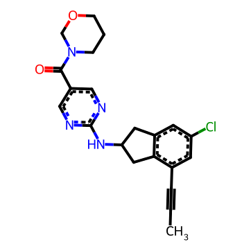 CC#Cc1cc(Cl)cc2c1CC(Nc1ncc(C(=O)N3CCCOC3)cn1)C2